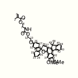 C=C(C)C(=O)OCCNC(=O)OCCOc1ccc(C2(c3ccccc3)C=Cc3c4c(c5cc(OC)c(OC)cc5c3O2)-c2ccccc2C4(C)C)cc1